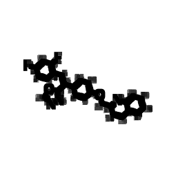 Fc1ccc(C=C(c2ccc(OCc3ccc4ccccc4n3)cc2)c2nnco2)c(F)c1